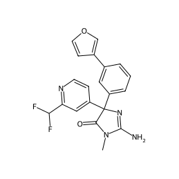 CN1C(=O)C(c2cccc(-c3ccoc3)c2)(c2ccnc(C(F)F)c2)N=C1N